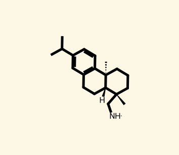 CC(C)c1ccc2c(c1)CC[C@H]1[C@@](C)(C[NH])CCC[C@]21C